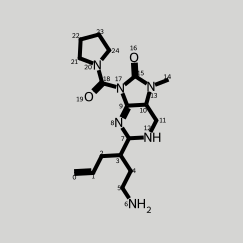 C=CCC(CCN)C1N=C2C(CN1)N(C)C(=O)N2C(=O)N1CCCC1